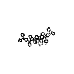 CC1(C)c2cc(N(c3ccccc3)c3ccc(N(c4ccccc4)c4ccccc4)cc3)c3ccccc3c2-c2ccc3c(c21)C(C)(C)c1cc(N(c2ccccc2)c2ccc(N(c4ccccc4)c4ccccc4)cc2)c2ccccc2c1-3